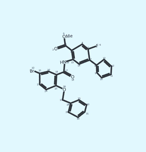 COC(=O)c1cc(F)c(-c2ccccc2)cc1NC(=O)c1cc(Br)ccc1OCc1ccccc1